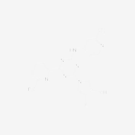 Oc1cn(-c2nc(Nc3ccnc(C(F)(F)F)c3)nc(-c3cccc(C(F)(F)F)n3)n2)cc1F